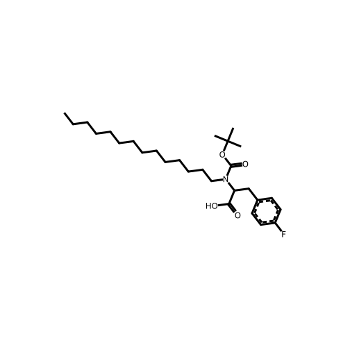 CCCCCCCCCCCCCCN(C(=O)OC(C)(C)C)C(Cc1ccc(F)cc1)C(=O)O